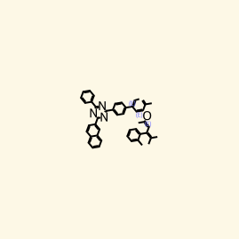 C=C(C)/C(=C\C(=C/C)c1ccc(-c2nc(-c3ccccc3)nc(-c3ccc4ccccc4c3)n2)cc1)O/C(C)=C/C(=C(C)C)c1ccccc1C